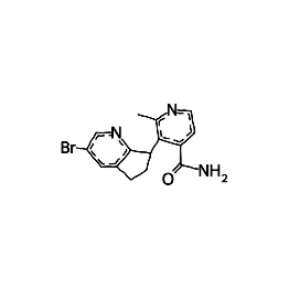 Cc1nccc(C(N)=O)c1C1CCc2cc(Br)cnc21